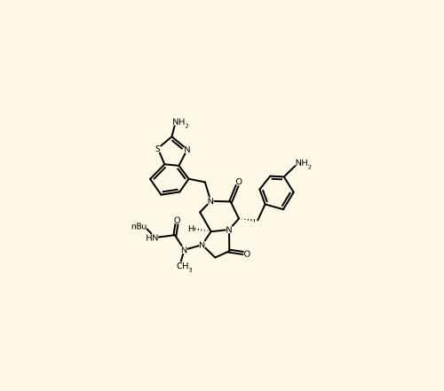 CCCCNC(=O)N(C)N1CC(=O)N2[C@@H](Cc3ccc(N)cc3)C(=O)N(Cc3cccc4sc(N)nc34)C[C@@H]21